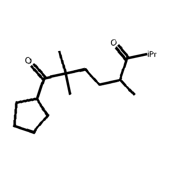 CC(C)C(=O)C(C)CCC(C)(C)C(=O)C1CCCC1